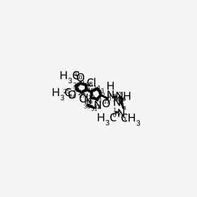 CCN(C)Cc1c[nH]c(NC(=O)c2ccc(-c3c(Cl)c(OC)cc(OC)c3Cl)c3nccnc23)n1